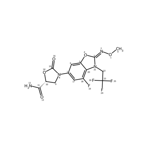 CO/N=c1/oc2cc(N3C[C@H](C(N)=O)OC3=O)cc(F)c2n1CC(F)(F)F